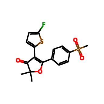 CC1(C)OC(c2ccc(S(C)(=O)=O)cc2)=C(c2ccc(F)s2)C1=O